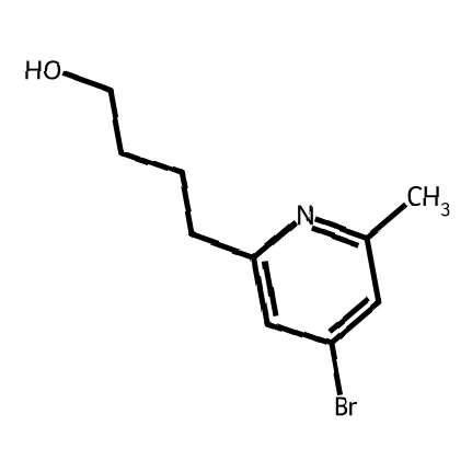 Cc1cc(Br)cc(CCCCO)n1